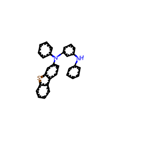 c1ccc(Nc2cccc(N(c3ccccc3)c3ccc4c(c3)sc3ccccc34)c2)cc1